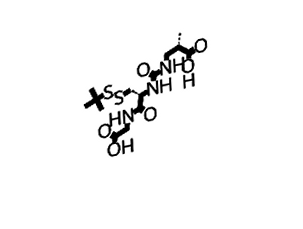 C[C@@H](CNC(=O)N[C@@H](CSSC(C)(C)C)C(=O)NCC(=O)O)C(=O)O